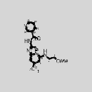 COCCNc1cc(C(F)(F)F)cc2nc(NC(=O)c3cccnc3)nn12